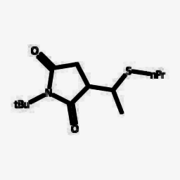 CCCSC(C)C1CC(=O)N(C(C)(C)C)C1=O